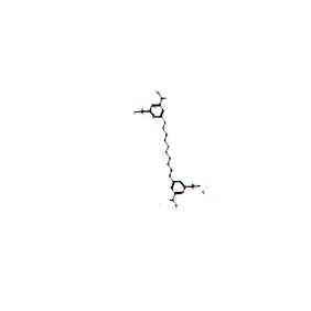 CCC(C)c1cc(CCCCCCCCCCc2cc(C(C)CC)c(O)c(C(C)(C)CC)c2)cc(C(C)(C)CC)c1O